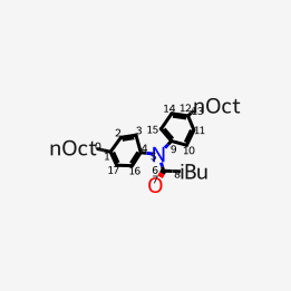 CCCCCCCCc1ccc(N(C(=O)C(C)CC)c2ccc(CCCCCCCC)cc2)cc1